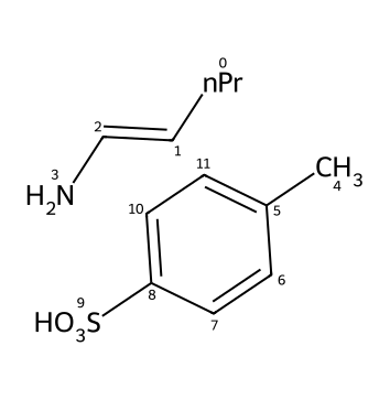 CCCC=CN.Cc1ccc(S(=O)(=O)O)cc1